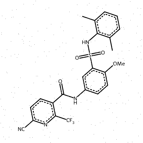 COc1ccc(NC(=O)c2ccc(C#N)nc2C(F)(F)F)cc1S(=O)(=O)Nc1c(C)cccc1C